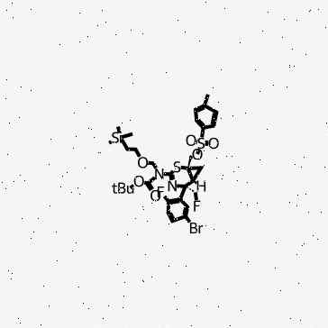 Cc1ccc(S(=O)(=O)OC[C@@]23C[C@@H]2[C@@](CF)(c2cc(Br)ccc2F)N=C(N(COCC[Si](C)(C)C)C(=O)OC(C)(C)C)S3)cc1